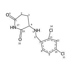 O=C1CCC(NCc2ccc(Cl)cc2Cl)C(=O)N1